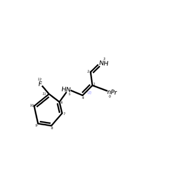 CCC/C(C=N)=C/Nc1ccccc1F